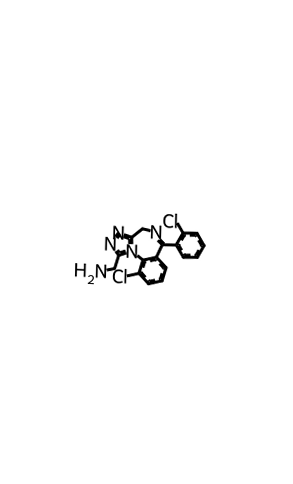 NCc1nnc2n1-c1c(Cl)cccc1C(c1ccccc1Cl)=NC2